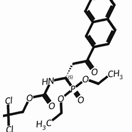 CCOP(=O)(OCC)[C@@H](CC(=O)c1ccc2ccccc2c1)NC(=O)OCC(Cl)(Cl)Cl